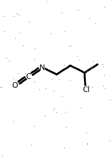 CC(Cl)CCN=C=O